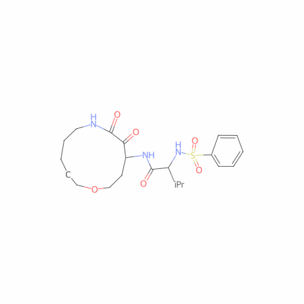 CC(C)C(NS(=O)(=O)c1ccccc1)C(=O)NC1CCOCCCCCNC(=O)C1=O